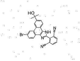 CC(C)(O)c1ccc2c(c1)c1cc(Br)ccc1c1nc(-c3c(C#N)cccc3C#N)[nH]c21